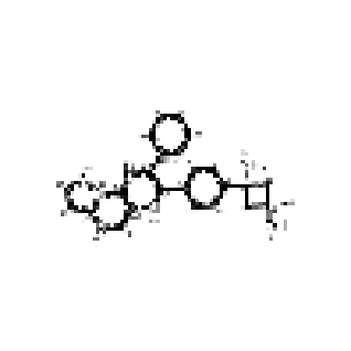 C[C@]1(O)C[C@@](N)(c2ccc(-c3nc4cnc5ccnn5c4nc3-c3ccccc3)cc2)C1